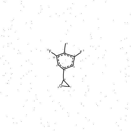 Cc1c(F)cc(C2CO2)cc1F